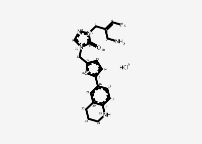 Cl.NC/C(=C\F)Cn1ncn(Cc2ccc(-c3ccc4c(c3)CCCN4)s2)c1=O